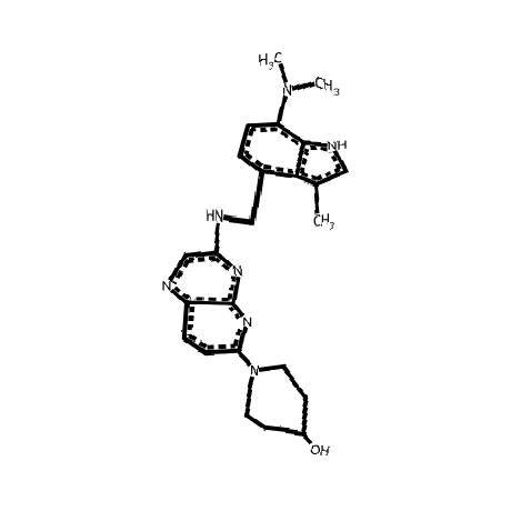 Cc1c[nH]c2c(N(C)C)ccc(CNc3cnc4ccc(N5CCC(O)CC5)nc4n3)c12